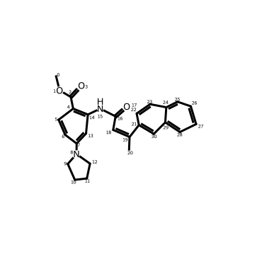 COC(=O)c1ccc(N2CCCC2)cc1NC(=O)/C=C(/C)c1ccc2ccccc2c1